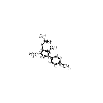 CCN(CC)Cc1c(C)nc(-c2ccc(C)cc2)n1O